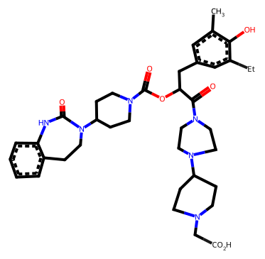 CCc1cc(CC(OC(=O)N2CCC(N3CCc4ccccc4NC3=O)CC2)C(=O)N2CCN(C3CCN(CC(=O)O)CC3)CC2)cc(C)c1O